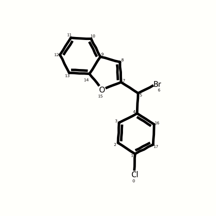 Clc1ccc(C(Br)c2cc3ccccc3o2)cc1